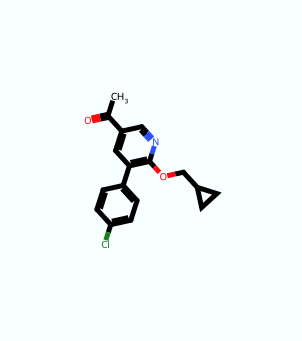 CC(=O)c1cnc(OCC2CC2)c(-c2ccc(Cl)cc2)c1